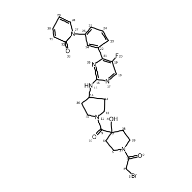 O=C(CBr)N1CCC(O)(C(=O)N2CCC(Nc3ncc(F)c(-c4cccc(-n5ccccc5=O)c4)n3)CC2)CC1